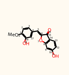 COc1ccc(/C=C2\Oc3cc(O)ccc3C2=O)cc1O